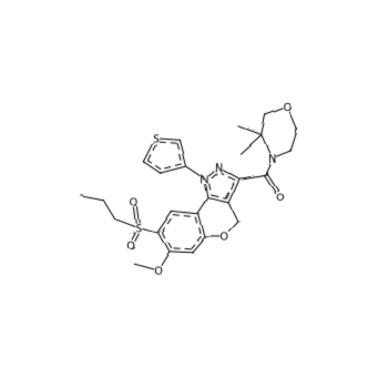 CCCS(=O)(=O)c1cc2c(cc1OC)OCc1c(C(=O)N3CCOCC3(C)C)nn(-c3ccsc3)c1-2